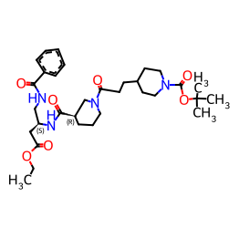 CCOC(=O)C[C@@H](CNC(=O)c1ccccc1)NC(=O)[C@@H]1CCCN(C(=O)CCC2CCN(C(=O)OC(C)(C)C)CC2)C1